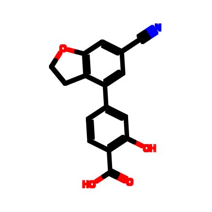 N#Cc1cc2c(c(-c3ccc(C(=O)O)c(O)c3)c1)CCO2